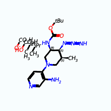 CC(C)C.CC(C)C.C[C@H]1CN(c2ccncc2N)C[C@@H](NC(=O)OC(C)(C)C)[C@H]1N=[N+]=N.O=C(O)O.O=C([O-])O